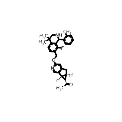 CC(=O)[C@H]1[C@@H]2Cc3cc(OCc4ccc5c(c4F)C(c4ccccc4C)NCC5(C)C)ncc3[C@@H]21